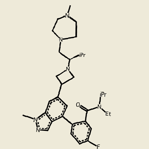 CCN(C(=O)c1cc(F)ccc1-c1cc(C2CN([C@@H](CN3CCN(C)CC3)C(C)C)C2)cc2c1cnn2C)C(C)C